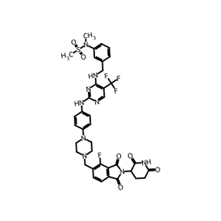 CN(c1cccc(CNc2nc(Nc3ccc(N4CCN(Cc5ccc6c(c5F)C(=O)N(C5CCC(=O)NC5=O)C6=O)CC4)cc3)ncc2C(F)(F)F)c1)S(C)(=O)=O